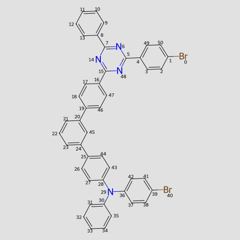 Brc1ccc(-c2nc(-c3ccccc3)nc(-c3ccc(-c4cccc(-c5ccc(N(c6ccccc6)c6ccc(Br)cc6)cc5)c4)cc3)n2)cc1